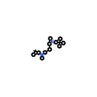 CC1(C)c2ccccc2-c2cc(N(c3ccccc3)c3ccc(-c4cccc(-c5ccc6c7ccccc7n(-c7ccc8c(c7)-c7ccccc7C8(c7ccccc7)c7ccccc7)c6c5)c4)cc3)ccc21